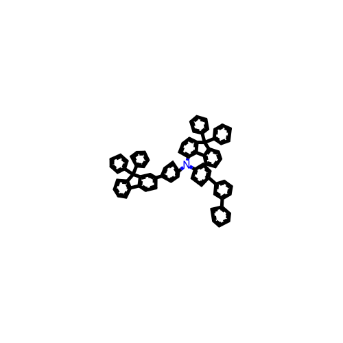 c1ccc(-c2cccc(-c3ccc(N(c4ccc(-c5ccc6c(c5)C(c5ccccc5)(c5ccccc5)c5ccccc5-6)cc4)c4cccc5c4-c4ccccc4C5(c4ccccc4)c4ccccc4)cc3)c2)cc1